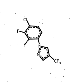 Fc1c(Cl)ccc(-n2cc(C(F)(F)F)cn2)c1I